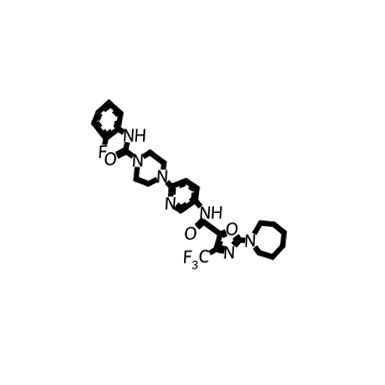 O=C(Nc1ccc(N2CCN(C(=O)Nc3ccccc3F)CC2)nc1)c1oc(N2CCCCCC2)nc1C(F)(F)F